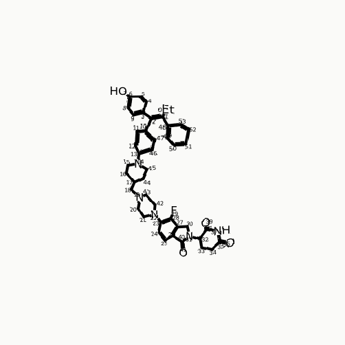 CCC(=C(c1ccc(O)cc1)c1ccc(N2CCC(CN3CCN(c4ccc5c(c4F)CN(C4CCC(=O)NC4=O)C5=O)CC3)CC2)cc1)c1ccccc1